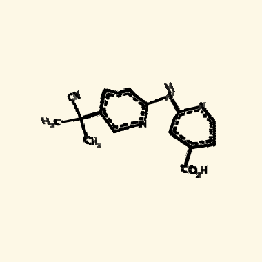 CC(C)(C#N)c1ccc(Nc2cc(C(=O)O)ccn2)nc1